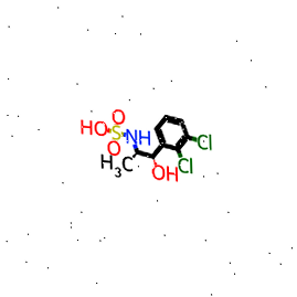 C[C@H](NS(=O)(=O)O)[C@@H](O)c1cccc(Cl)c1Cl